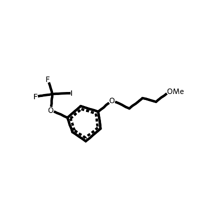 COCCCOc1cccc(OC(F)(F)I)c1